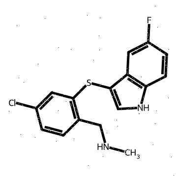 CNCc1ccc(Cl)cc1Sc1c[nH]c2ccc(F)cc12